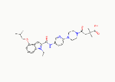 CCn1c(C(=O)Nc2ccc(N3CCN(C(=O)CC(C)(C)C(=O)O)CC3)nc2)cc2c(OCC(C)C)cccc21